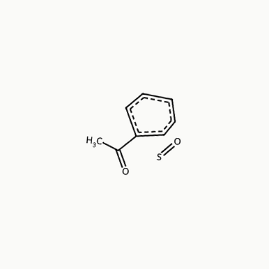 CC(=O)c1ccccc1.O=S